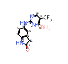 Bc1nc(Nc2ccc3c(c2)CC(=O)N3)ncc1C(F)(F)F